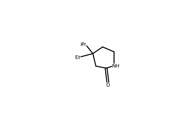 CCC1(C(C)C)CCNC(=O)C1